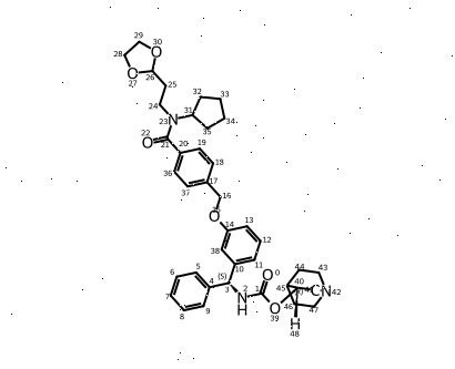 O=C(N[C@@H](c1ccccc1)c1cccc(OCc2ccc(C(=O)N(CCC3OCCO3)C3CCCC3)cc2)c1)O[C@H]1CN2CCC1CC2